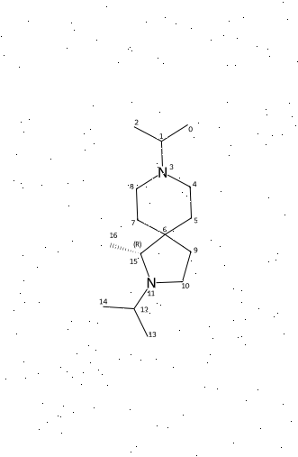 CC(C)N1CCC2(CC1)CCN(C(C)C)[C@@H]2C